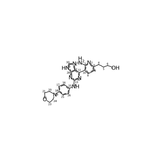 Nc1nc(CCCO)ccc1-c1nc(Nc2ccc(N3CCOCC3)cc2)nc2[nH]cnc12